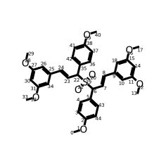 COc1ccc(C(C=Cc2cc(OC)cc(OC)c2)S(=O)(=O)C(C=Cc2cc(OC)cc(OC)c2)c2ccc(OC)cc2)cc1